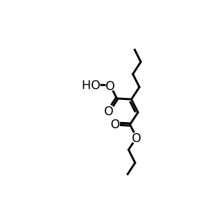 CCCCC(=CC(=O)OCCC)C(=O)OO